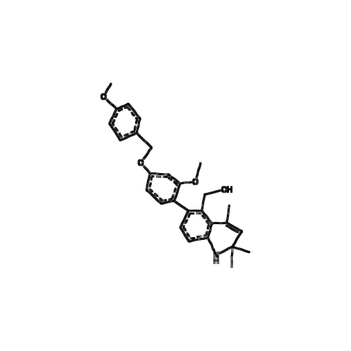 COc1ccc(COc2ccc(-c3ccc4c(c3CO)C(C)=CC(C)(C)N4)c(OC)c2)cc1